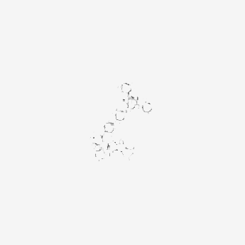 CC1(C)c2ccccc2-c2cc3c(cc21)-c1c(-c2ccc(-c4ccc(-c5cc(-c6ccccc6)nc(-c6ccccc6)n5)cc4)cc2)cccc1C31CCCCC1